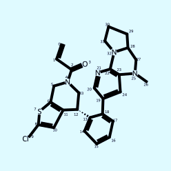 C=CC(=O)N1Cc2sc(Cl)cc2[C@@H](c2ccccc2-c2cnc3c(c2)N(C)CC2CCCN32)C1